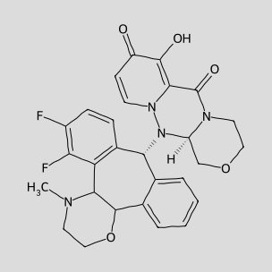 CN1CCOC2c3ccccc3[C@@H](N3[C@@H]4COCCN4C(=O)c4c(O)c(=O)ccn43)c3ccc(F)c(F)c3C21